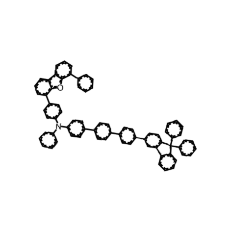 c1ccc(-c2cccc3c2oc2c(-c4ccc(N(c5ccccc5)c5ccc(-c6ccc(-c7ccc(-c8ccc9c(c8)-c8ccccc8C9(c8ccccc8)c8ccccc8)cc7)cc6)cc5)cc4)cccc23)cc1